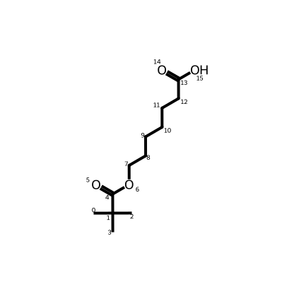 CC(C)(C)C(=O)OCCCCCCC(=O)O